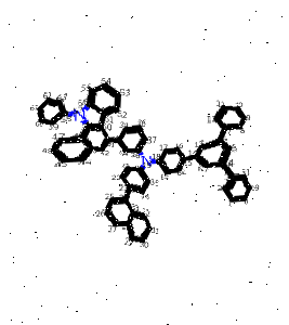 c1ccc(-c2cc(-c3ccccc3)cc(-c3ccc(N(c4ccc(-c5cccc6ccccc56)cc4)c4cccc(-c5cc6ccccc6c6c5c5ccccc5n6-c5ccccc5)c4)cc3)c2)cc1